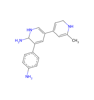 CC1=CC(C2=CNC(N)C(c3ccc(N)cc3)=C2)=CCN1